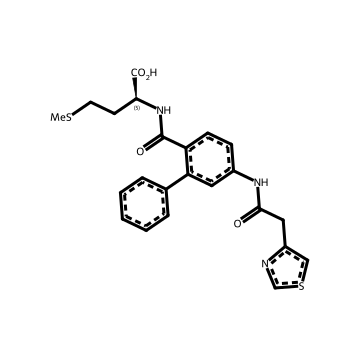 CSCC[C@H](NC(=O)c1ccc(NC(=O)Cc2cscn2)cc1-c1ccccc1)C(=O)O